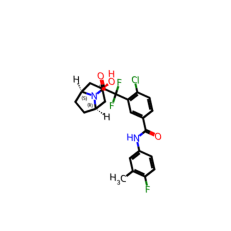 Cc1cc(NC(=O)c2ccc(Cl)c(C(F)(F)C(=O)N3[C@@H]4CC[C@H]3C[C@@H](O)C4)c2)ccc1F